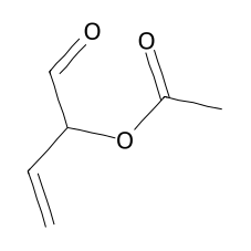 C=CC(C=O)OC(C)=O